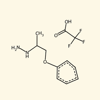 CC(COc1ccccc1)NN.O=C(O)C(F)(F)F